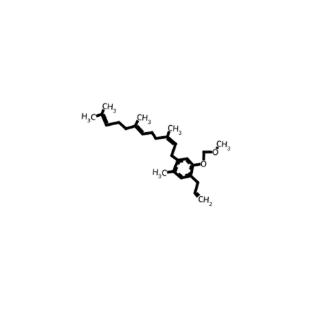 C=CCc1cc(C)c(C/C=C(/C)CC/C=C(\C)CCC=C(C)C)cc1OCOC